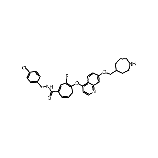 O=C(NCc1ccc(Cl)cc1)C1=CC(F)=C(Oc2ccnc3cc(OCC4CCCNCC4)ccc23)CC=C1